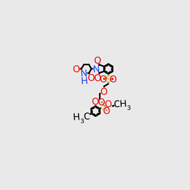 CCOS(=O)(=O)c1ccc(C)cc1OCCOCCS(=O)(=O)c1cccc2c1C(=O)N(C1CCC(=O)NC1=O)C2=O